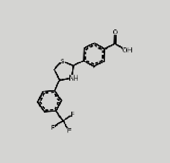 O=C(O)c1ccc(C2NC(c3cccc(C(F)(F)F)c3)CS2)cc1